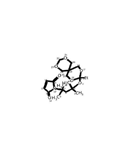 CCC1(OC(C)(C)CC(C)(C)N2C(=O)C=CC2=O)OCC2(COCOC2)CO1